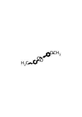 C=CCC[C@H]1CC[C@H]([C@@H]2CO[C@@H](C#Cc3ccc(OCC)cc3)CO2)CC1